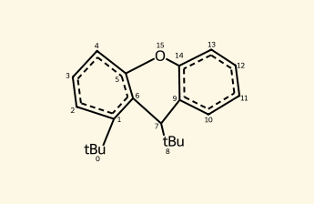 CC(C)(C)c1cccc2c1C(C(C)(C)C)c1ccccc1O2